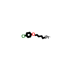 C[C](C)CCCCCOc1ccc(Cl)cc1